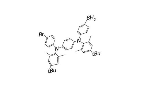 Bc1ccc(N(c2ccc(N(c3ccc(Br)cc3)c3c(C)cc(C(C)(C)C)cc3C)cc2)c2c(C)cc(C(C)(C)C)cc2C)cc1